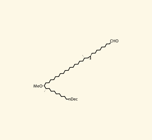 CCCCCCCCCCCCCCCCCC[C@H](C)[C@@H](CCCCCCCCCCCCCCCC[C@H](C)[C@H]1C[C@@H]1CCCCCCCCC=O)OC